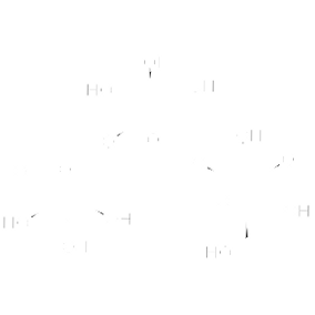 COC1OC(CO[C@@H]2OC(CO[C@@H]3O[C@H](CO)[C@@H](O)[C@H](O)[C@H]3O)[C@@H](O)[C@H](O)[C@H]2O)[C@@H](O)[C@H](O)[C@H]1O